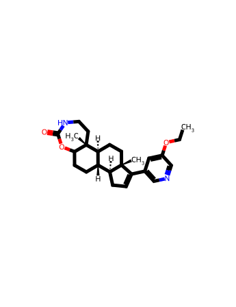 CCOc1cncc(C2=CC[C@H]3[C@@H]4CCC5OC(=O)NCC[C@]5(C)[C@H]4CC[C@]23C)c1